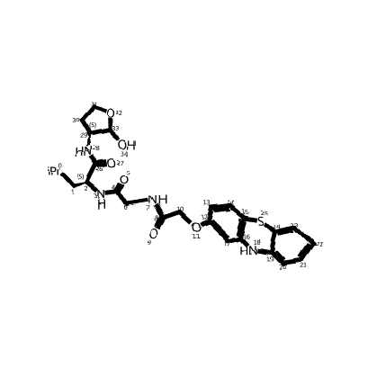 CC(C)C[C@H](NC(=O)CNC(=O)COc1ccc2c(c1)Nc1ccccc1S2)C(=O)N[C@H]1CCOC1O